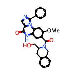 COc1cc2c(cc1C(=O)N1Cc3ccccc3CC1CO)[nH]c(=O)c1cnc(-c3ccccc3)n12